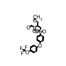 COCC(CS(=O)(=O)c1ccc(Oc2ccc(OC(F)(F)F)cc2)cc1)N(O)C=O